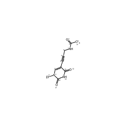 CCn1cc(C#CCNC(=O)C(F)(F)F)c(=O)[nH]c1=O